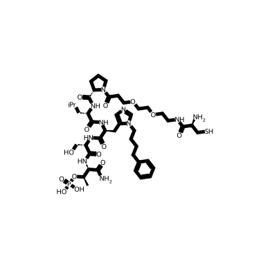 CC(C)C[C@H](NC(=O)[C@@H]1CCCN1C(=O)CCOCCOCCNC(=O)[C@@H](N)CS)C(=O)N[C@@H](Cc1cncn1CCCCc1ccccc1)C(=O)N[C@@H](CO)C(=O)N[C@H](C(N)=O)[C@@H](C)OP(=O)(O)O